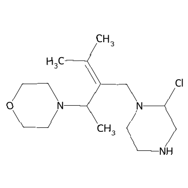 CC(C)=C(CN1CCNCC1Cl)C(C)N1CCOCC1